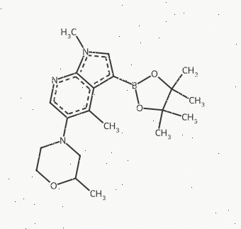 Cc1c(N2CCOC(C)C2)cnc2c1c(B1OC(C)(C)C(C)(C)O1)cn2C